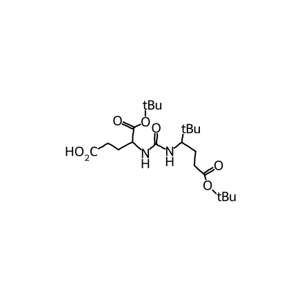 CC(C)(C)OC(=O)CCC(NC(=O)NC(CCC(=O)O)C(=O)OC(C)(C)C)C(C)(C)C